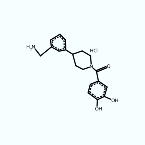 Cl.NCc1cccc(C2CCN(C(=O)c3ccc(O)c(O)c3)CC2)c1